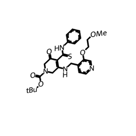 COCCOc1cnccc1CNC1=C(C(=S)Nc2ccccc2)C(=O)CN(C(=O)OC(C)(C)C)C1